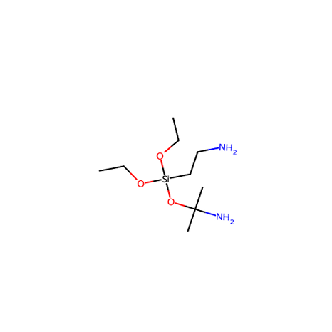 CCO[Si](CCN)(OCC)OC(C)(C)N